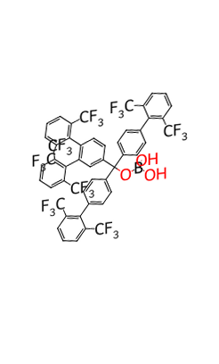 OB(O)OC(c1ccc(-c2c(C(F)(F)F)cccc2C(F)(F)F)cc1)(c1ccc(-c2c(C(F)(F)F)cccc2C(F)(F)F)cc1)c1ccc(-c2c(C(F)(F)F)cccc2C(F)(F)F)c(-c2c(C(F)(F)F)cccc2C(F)(F)F)c1